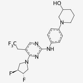 OC1CCCN(c2ccc(Nc3ncc(CC(F)(F)F)c(N4C[C@H](F)[C@@H](F)C4)n3)cc2)C1